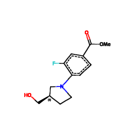 COC(=O)c1ccc(N2CC[C@@H](CO)C2)c(F)c1